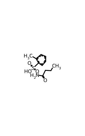 CCCC(N)=O.Cc1ccccc1S(=O)(=O)O